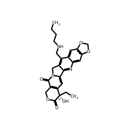 CCCCNCc1c2c(nc3cc4c(cc13)OCO4)-c1cc3c(c(=O)n1C2)COC(=O)[C@]3(O)CC